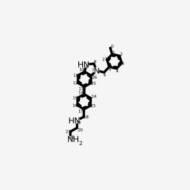 Cc1cccc(CN2CNc3ccc(-c4ccc(CNCCN)cc4)cc32)c1